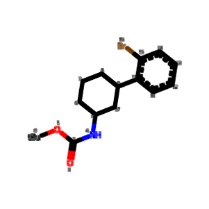 CC(C)(C)OC(=O)NC1CCCC(c2ccccc2Br)C1